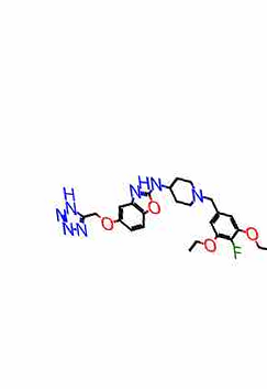 CCOc1cc(CN2CCC(Nc3nc4cc(OCc5nnn[nH]5)ccc4o3)CC2)cc(OCC)c1F